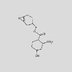 CC12CCC(COC(=O)C3CCC(O)CC3C(=O)O)CC1O2